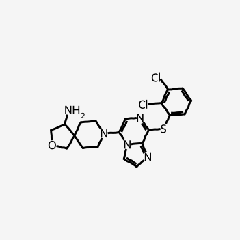 NC1COCC12CCN(c1cnc(Sc3cccc(Cl)c3Cl)c3nccn13)CC2